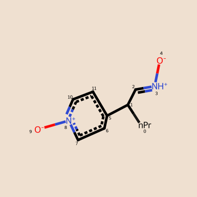 CCCC(C=[NH+][O-])c1cc[n+]([O-])cc1